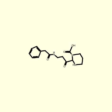 O=C(Cc1ccccc1)NCCC(=O)C1NCCCN1C(=O)O